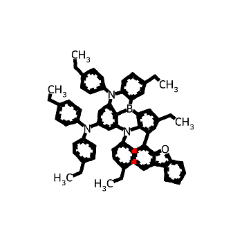 CCc1ccc(N(c2ccc(CC)cc2)c2cc3c4c(c2)N(c2ccc(CC)cc2)c2c(cc(CC)cc2-c2cccc5c2oc2ccccc25)B4c2cc(CC)ccc2N3c2ccc(CC)cc2)cc1